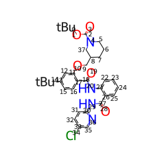 CC(C)(C)OC(=O)N1CCCC(COc2cc(C(C)(C)C)ccc2C(=O)Nc2ccccc2C(=O)Nc2ccc(Cl)cn2)C1